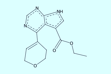 CCOC(=O)c1c[nH]c2ncnc(C3=CCOCC3)c12